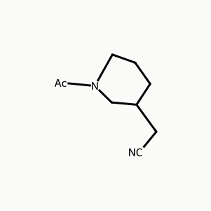 CC(=O)N1CCCC(CC#N)C1